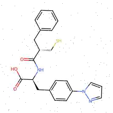 O=C(N[C@@H](Cc1ccc(-n2cccn2)cc1)C(=O)O)[C@@H](CS)Cc1ccccc1